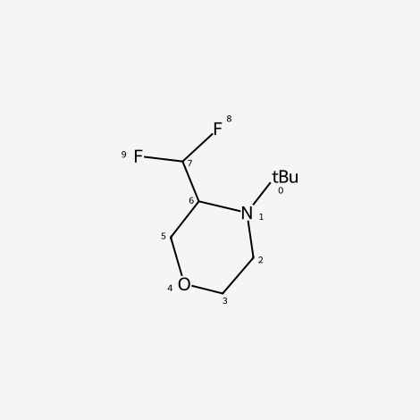 CC(C)(C)N1CCOCC1C(F)F